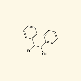 CCC(c1ccccc1)C(C#N)c1ccccc1